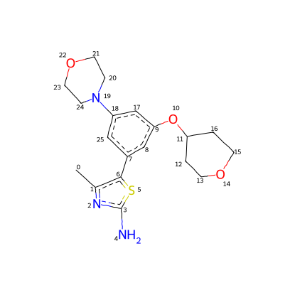 Cc1nc(N)sc1-c1cc(OC2CCOCC2)cc(N2CCOCC2)c1